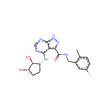 Cc1ccc(F)cc1CNC(=O)c1n[nH]c2ncnc(N[C@@H]3CC[C@@H](O)[C@H]3O)c12